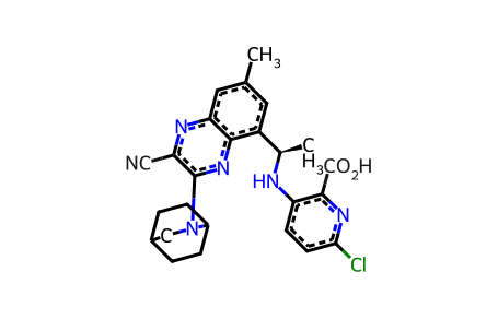 Cc1cc([C@@H](C)Nc2ccc(Cl)nc2C(=O)O)c2nc(N3CC4CCC3CC4)c(C#N)nc2c1